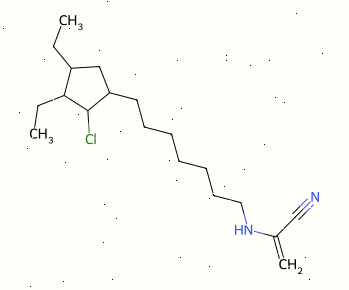 C=C(C#N)NCCCCCCCC1CC(CC)C(CC)C1Cl